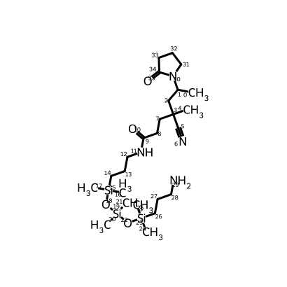 CC(CC(C)(C#N)CCC(=O)NCCC[Si](C)(C)O[Si](C)(C)O[Si](C)(C)CCCN)N1CCCC1=O